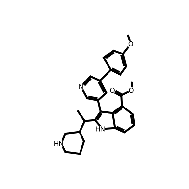 COC(=O)c1cccc2[nH]c(C(C)C3CCCNC3)c(-c3cncc(-c4ccc(OC)cc4)c3)c12